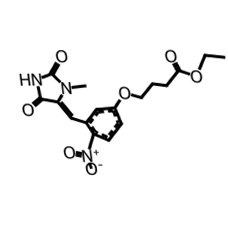 CCOC(=O)CCCOc1ccc([N+](=O)[O-])c(C=C2C(=O)NC(=O)N2C)c1